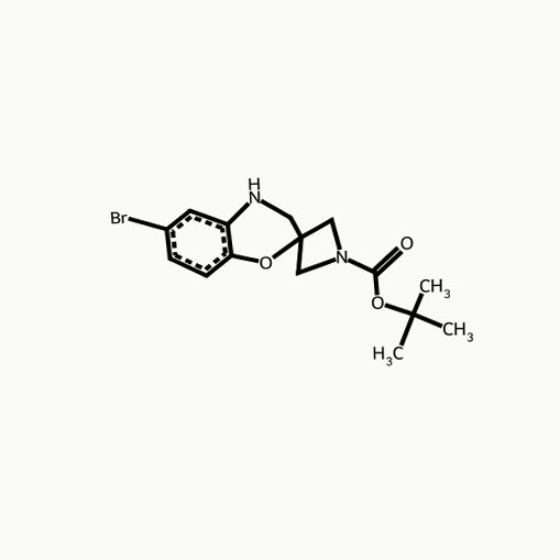 CC(C)(C)OC(=O)N1CC2(CNc3cc(Br)ccc3O2)C1